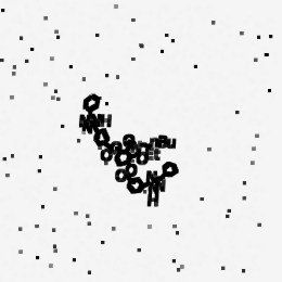 CCCCC(CC)CN1C(=O)c2c(OC(=O)c3ccc(-c4nnc(-c5ccccc5)[nH]4)cc3)ccc(OC(=O)c3cccc(-c4nc(-c5ccccc5)n[nH]4)c3)c2C1=O